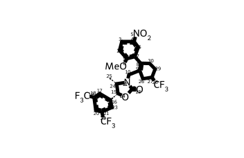 COc1ccc([N+](=O)[O-])cc1C1=C(CN2C(=O)O[C@H](c3cc(C(F)(F)F)cc(C(F)(F)F)c3)[C@@H]2C)CC(C(F)(F)F)CC1